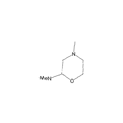 C[N]C1CN(C)CCO1